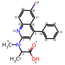 CC(C(=O)O)N(C)c1cc(-c2ccccc2)c2cc(I)ccc2n1